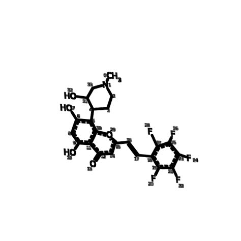 CN1CCC(c2c(O)cc(O)c3c(=O)cc(/C=C/c4c(F)c(F)c(F)c(F)c4F)oc23)C(O)C1